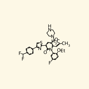 CCOc1ccc(F)cc1-n1c(C=C(C)C)c(C(=O)N2CCNCC2)cc(-c2nc(-c3ccc(C(F)F)cc3)cs2)c1=O